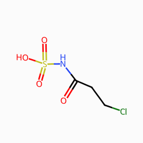 O=C(CCCl)NS(=O)(=O)O